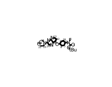 CC(C)(C)OC(=O)N(F)c1ccc(Oc2ccnc3nc(N4CCOCC4)cnc23)cc1